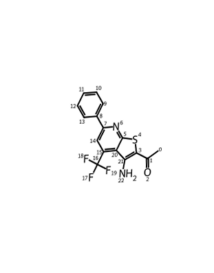 CC(=O)c1sc2nc(-c3ccccc3)cc(C(F)(F)F)c2c1N